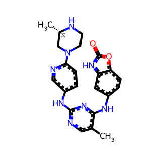 Cc1cnc(Nc2ccc(N3CCN[C@@H](C)C3)nc2)nc1Nc1ccc2oc(=O)[nH]c2c1